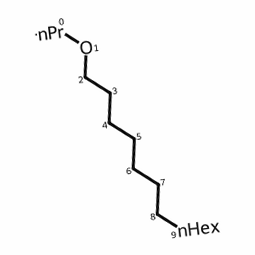 [CH2]C[CH]OCCCCCCCCCCCCC